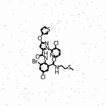 CSCCNC(=O)c1cc(Cl)cc(Br)c1NC(=O)c1cc(Oc2ccsc2)nn1-c1ncccc1Cl